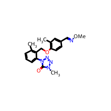 CON=Cc1ccc(OCc2c(C)cccc2-n2nnn(C)c2=O)c(C)c1